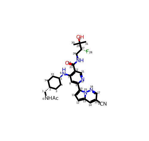 CC(=O)NC[C@H]1CC[C@H](Nc2cc(-c3ccc4cc(C#N)cnn34)ncc2C(=O)NC[C@@H](F)C(C)(C)O)CC1